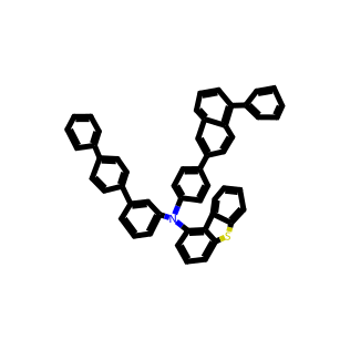 c1ccc(-c2ccc(-c3cccc(N(c4ccc(-c5ccc6c(-c7ccccc7)cccc6c5)cc4)c4cccc5sc6ccccc6c45)c3)cc2)cc1